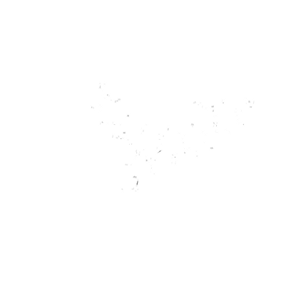 CO[C@@H]1C[C@H](C(=O)Nc2ccc(-n3ccc(O)cc3=O)cc2F)N(C(=O)Nc2ccc(Cl)cc2)C1